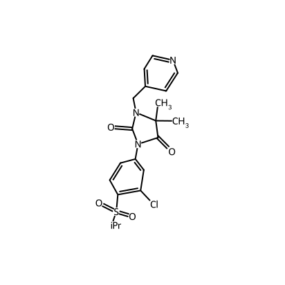 CC(C)S(=O)(=O)c1ccc(N2C(=O)N(Cc3ccncc3)C(C)(C)C2=O)cc1Cl